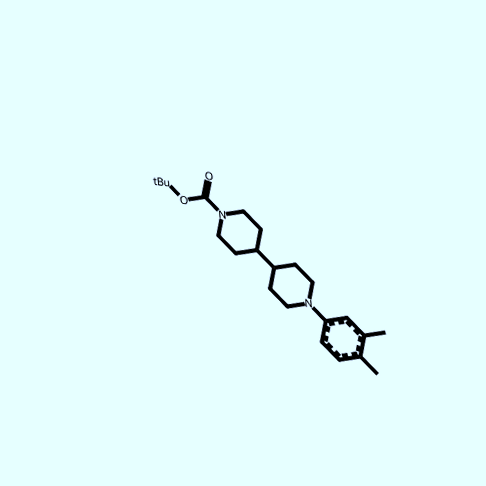 Cc1ccc(N2CCC(C3CCN(C(=O)OC(C)(C)C)CC3)CC2)cc1C